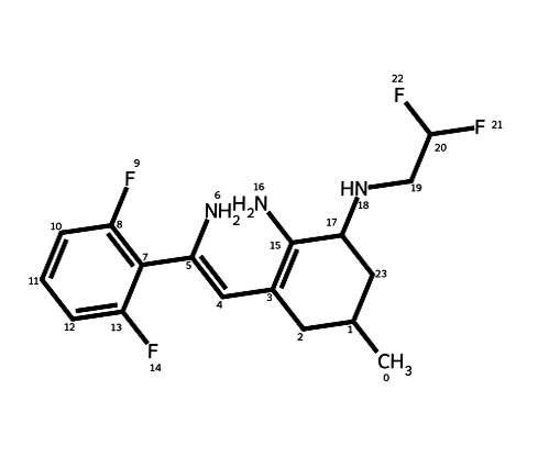 CC1CC(/C=C(\N)c2c(F)cccc2F)=C(N)C(NCC(F)F)C1